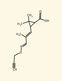 C#CCO/N=C/C(C)=C/C1C(C(=O)O)C1(C)C